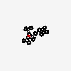 c1ccc(-c2ccccc2-c2ccccc2-c2ccccc2N(c2ccc(-c3ccc4c(c3)C3(c5ccccc5-c5ccccc53)c3ccccc3-4)cc2)c2cccc(-n3c4ccccc4c4ccccc43)c2)cc1